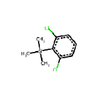 C[Si](C)(C)c1c(Cl)cccc1Cl